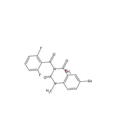 CC(=O)N(C(=O)c1c(F)cccc1F)C(=O)N(C)c1ccc(S)cc1F